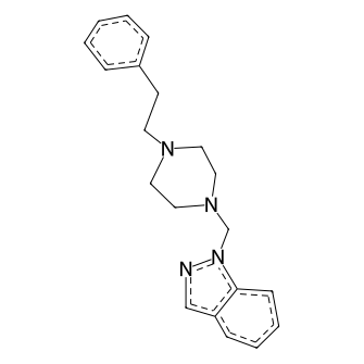 c1ccc(CCN2CCN(Cn3ncc4ccccc43)CC2)cc1